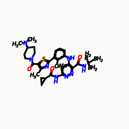 BC(B)(B)NC(=O)c1nnc(NC(=O)C2CC2)cc1Nc1cccc(-c2nc(C)c(C(=O)N3CCC(N(C)C)CC3)s2)c1OC